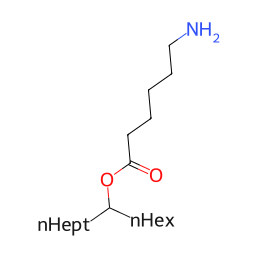 CCCCCCCC(CCCCCC)OC(=O)CCCCCN